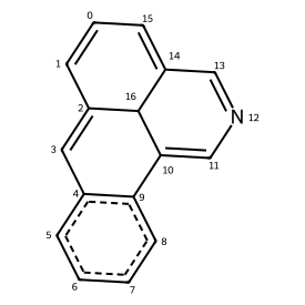 C1=CC2=Cc3ccccc3C3=CN=CC(=C1)C23